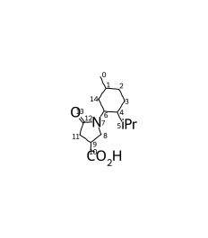 CC1CCC(C(C)C)C(N2CC(C(=O)O)CC2=O)C1